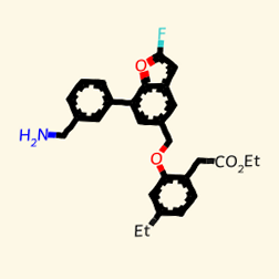 CCOC(=O)Cc1ccc(CC)cc1OCc1cc(-c2cccc(CN)c2)c2oc(F)cc2c1